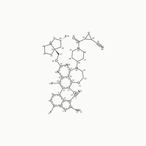 N#Cc1c(N)sc2c(F)ccc(-c3c(Cl)c4c5c(nc(OC[C@@]67CCCN6C[C@H](F)C7)nc5c3F)N(C3CCN(C(=O)C5CC5C#N)CC3)CCO4)c12